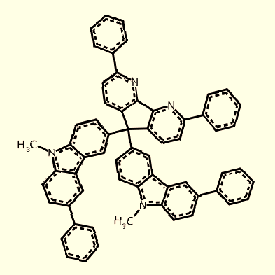 Cn1c2ccc(-c3ccccc3)cc2c2cc(C3(c4ccc5c(c4)c4cc(-c6ccccc6)ccc4n5C)c4ccc(-c5ccccc5)nc4-c4nc(-c5ccccc5)ccc43)ccc21